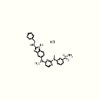 CCn1c(NCc2ccccc2)nc2cc(N(C)c3ccnc(Nc4cccc(S(N)(=O)=O)c4)n3)ccc21.Cl